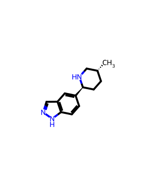 C[C@@H]1CC[C@@H](c2ccc3[nH]ncc3c2)NC1